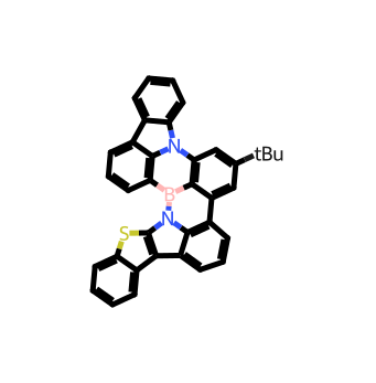 CC(C)(C)c1cc2c3c(c1)-n1c4ccccc4c4cccc(c41)B3n1c3sc4ccccc4c3c3cccc-2c31